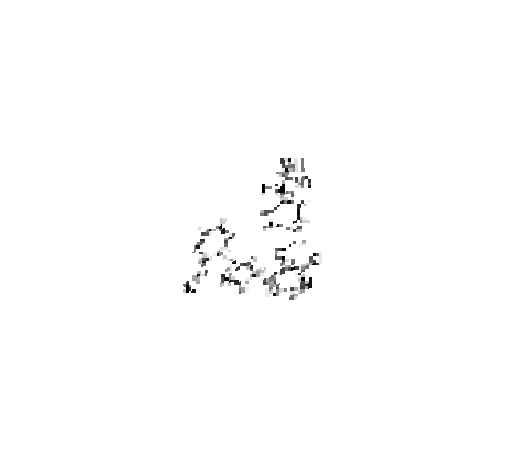 N#Cc1ccccc1-n1cc(-c2ncnc(Cl)c2OC[C@H]2CC[C@@H](NC(=O)O)CC2)cn1